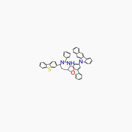 CC1CC/C(c2ccc3c(c2)sc2ccccc23)=N\C(c2ccccc2)NC1c1cc(-n2c3ccccc3c3cc4ccccc4cc32)cc2c1oc1ccccc12